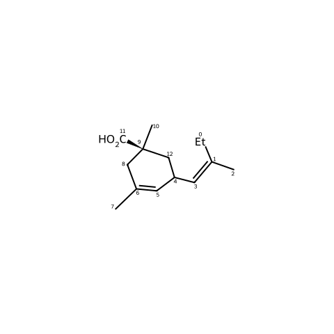 CC/C(C)=C\C1C=C(C)C[C@@](C)(C(=O)O)C1